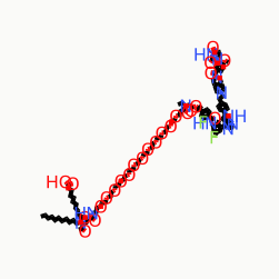 CCCCCCCCCCCN(C(=O)CCCCCCCCCC(=O)O)C(CCC(=O)NCCOCCOCCOCCOCCOCCOCCOCCOCCOCCOCCOCCOCCC(=O)N(CC)CC(=O)OC(C)(C)c1ccc(C(=O)Nc2cc(F)cc(-c3ncnc4[nH]c(-c5ccc(CCN6CCC7(CC6)CCN(C(=O)c6ccc(OC)c(N8CCC(=O)NC8=O)c6)CC7)cc5)cc34)c2C)c(F)c1)C(C)=O